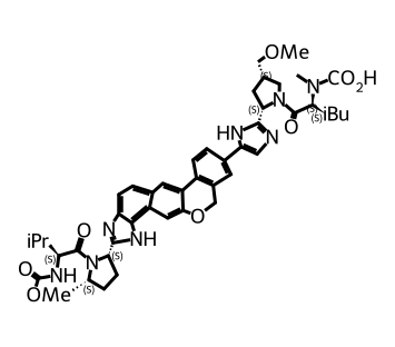 CC[C@H](C)[C@@H](C(=O)N1C[C@@H](COC)C[C@H]1c1ncc(-c2ccc3c(c2)COc2cc4c(ccc5nc([C@@H]6CC[C@H](C)N6C(=O)[C@@H](NC(=O)OC)C(C)C)[nH]c54)cc2-3)[nH]1)N(C)C(=O)O